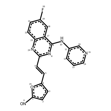 O=Nc1ccc(/C=C/c2nc(Nc3cccnc3)c3cc(F)ccc3n2)o1